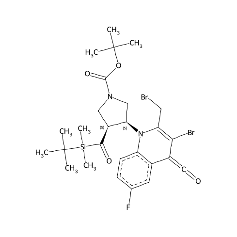 CC(C)(C)OC(=O)N1C[C@H](C(=O)[Si](C)(C)C(C)(C)C)[C@H](N2C(CBr)=C(Br)C(=C=O)c3cc(F)ccc32)C1